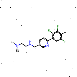 CCN(CC)CCNCc1ccc(-c2cc(F)c(C)c(F)c2F)nc1